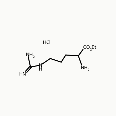 CCOC(=O)C(N)CCCNC(=N)N.Cl